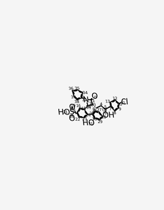 O=C1[C@H](CC[C@H](O)c2ccc(Cl)cc2)[C@@H](c2cc(S(=O)(=O)O)ccc2-c2ccccc2O)N1c1ccccc1